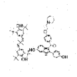 CC(C)(Sc1cc(C(C)(C)C)c(O)c(C(C)(C)C)c1)Sc1cc(C(C)(C)C)c(O)c(C(C)(C)C)c1.O=C(c1ccc(OCCN2CCCCC2)cc1)c1c(-c2ccc(O)cc2)sc2cc(O)ccc12